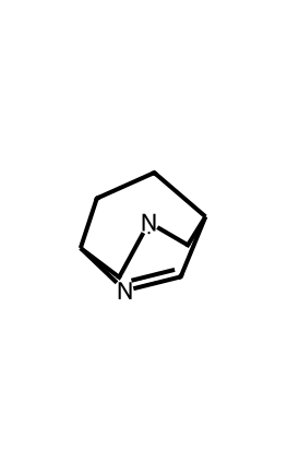 C1=NC2CCC1C[N]C2